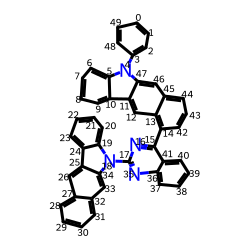 c1ccc(-n2c3ccccc3c3cc4c(-c5nc(-n6c7ccccc7c7cc8ccccc8cc76)nc6ccccc56)cccc4cc32)cc1